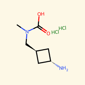 CN(C[C@H]1C[C@H](N)C1)C(=O)O.Cl.Cl